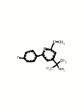 COc1cc(C(C)(C)N)cc(-c2ccc(F)cc2)n1